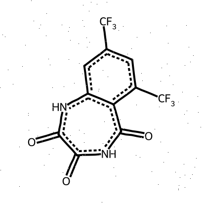 O=c1[nH]c(=O)c2c(C(F)(F)F)cc(C(F)(F)F)cc2[nH]c1=O